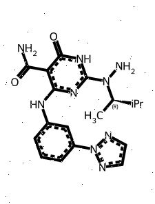 CC(C)[C@@H](C)N(N)c1nc(Nc2cccc(-n3nccn3)c2)c(C(N)=O)c(=O)[nH]1